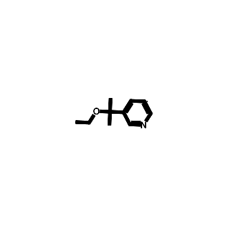 CCOC(C)(C)c1c[c]cnc1